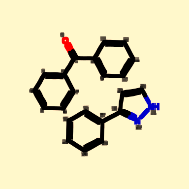 O=C(c1ccccc1)c1ccccc1.c1ccc(-c2cc[nH]n2)cc1